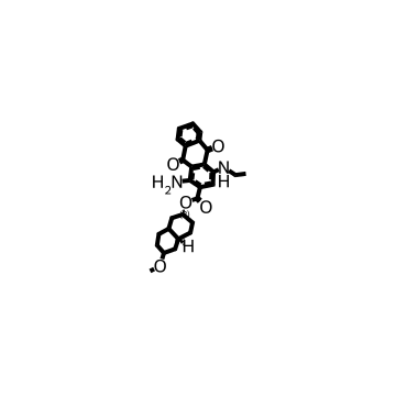 CCNc1cc(C(=O)O[C@@H]2CC[C@@H]3CC(OC)CCC3C2)c(N)c2c1C(=O)c1ccccc1C2=O